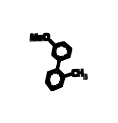 COc1cccc(-c2ccccc2C)c1